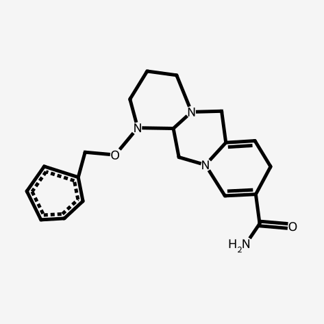 NC(=O)C1=CN2CC3N(CCCN3OCc3ccccc3)CC2=CC1